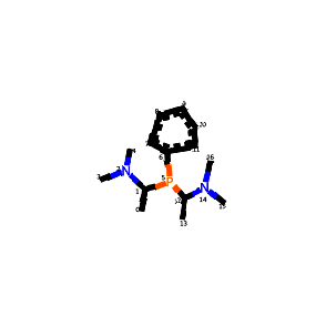 CC(N(C)C)P(c1ccccc1)C(C)N(C)C